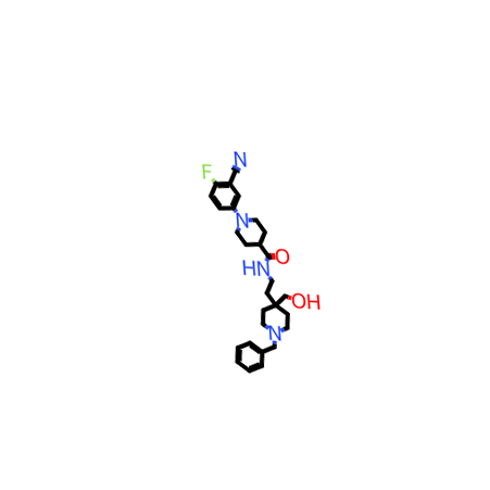 N#Cc1cc(N2CCC(C(=O)NCCC3(CO)CCN(Cc4ccccc4)CC3)CC2)ccc1F